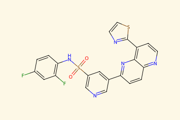 O=S(=O)(Nc1ccc(F)cc1F)c1cncc(-c2ccc3nccc(-c4nccs4)c3n2)c1